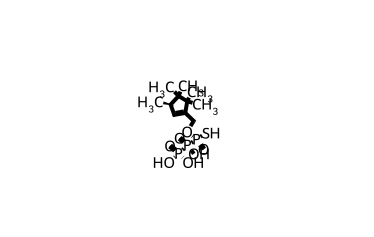 C[C@@H]1C=C(COP(=O)(S)P(=O)(O)P(=O)(O)O)C(C)(C)C1(C)C